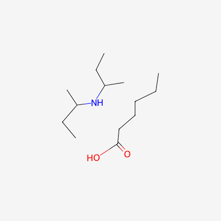 CCC(C)NC(C)CC.CCCCCC(=O)O